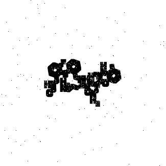 Cc1ccccc1NN(C)C(=O)[C@H](CN)NC(=O)[C@H](CCCN)NCc1ccccc1Sc1c(F)cccc1CNC=O